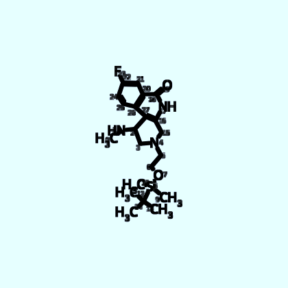 CNC1CN(CCO[Si](C)(C)C(C)(C)C)Cc2[nH]c(=O)c3cc(F)ccc3c21